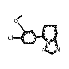 COc1cc(-c2cccc3ncnn23)ccc1Cl